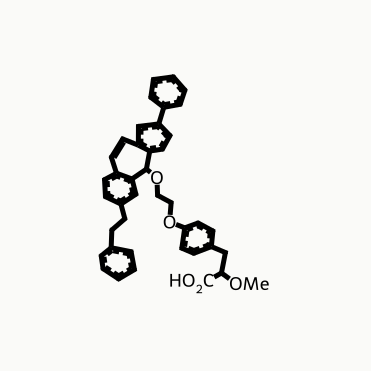 COC(Cc1ccc(OCCOC2c3ccc(-c4ccccc4)cc3C=Cc3ccc(CCc4ccccc4)cc32)cc1)C(=O)O